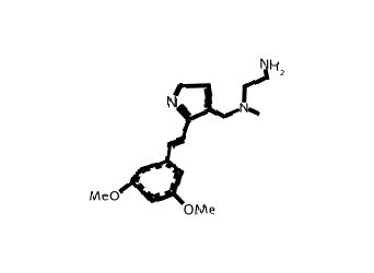 COc1cc(/C=C/C2=NCC=C2CN(C)CCN)cc(OC)c1